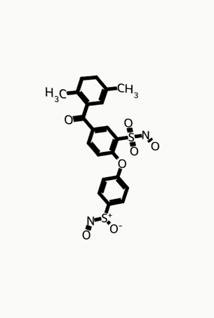 CC1=CC(C(=O)c2ccc(Oc3ccc([S+]([O-])N=O)cc3)c(S(=O)(=O)N=O)c2)=C(C)CC1